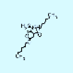 CCCCCCOC(=O)CC(C(=O)OCCCCCC)C(=S)N(C)S